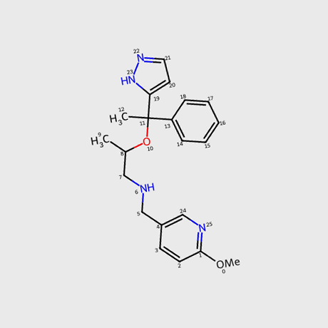 COc1ccc(CNCC(C)OC(C)(c2ccccc2)c2ccn[nH]2)cn1